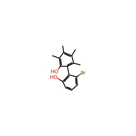 Cc1c(C)c(C)c(-c2c(O)cccc2Br)c(O)c1C